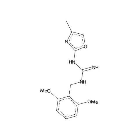 COc1cccc(OC)c1CNC(=N)Nc1nc(C)co1